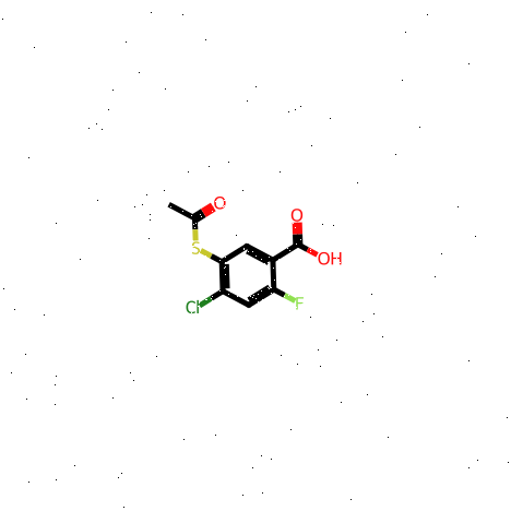 CC(=O)Sc1cc(C(=O)O)c(F)cc1Cl